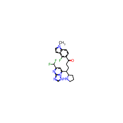 Cn1ccc2c(F)c(C(=O)CCC(c3cc(C(F)F)nc4ncnn34)C3CCCN3)ccc21